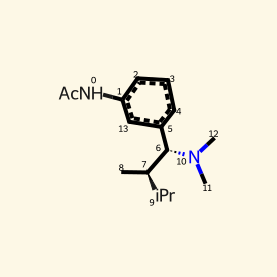 CC(=O)Nc1cccc([C@@H]([C@H](C)C(C)C)N(C)C)c1